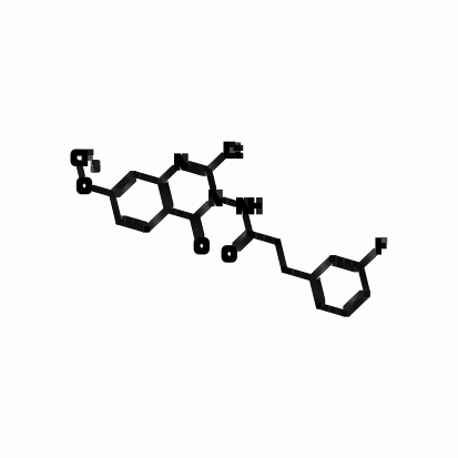 CCc1nc2cc(OC(F)(F)F)ccc2c(=O)n1NC(=O)CCc1cccc(F)c1